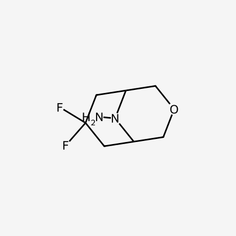 NN1C2COCC1CC(F)(F)C2